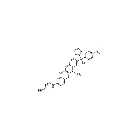 CN(C)c1ccc(C(O)(c2ccc3nc(Cl)c(Cc4ccc(N/C=C\C=N)cc4)c([SiH3])c3c2)c2cncn2C)cc1